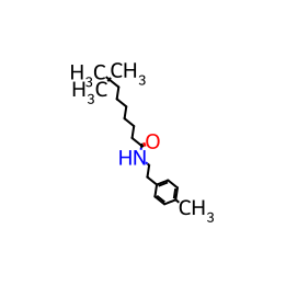 Cc1ccc(CCNC(=O)CCCCCCC(C)(C)C)cc1